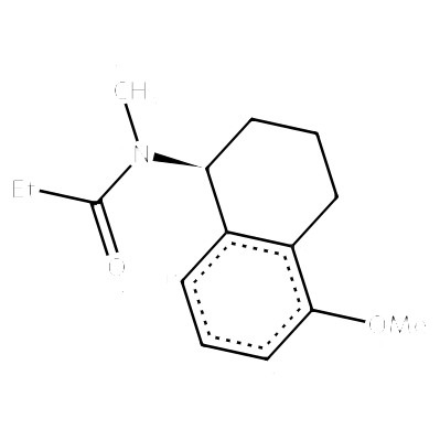 CCC(=O)N(C)[C@H]1CCCc2c(OC)cccc21